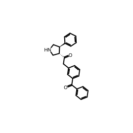 O=C(c1ccccc1)c1cccc(CC(=O)[C@@H]2CNC[C@H]2c2ccccc2)c1